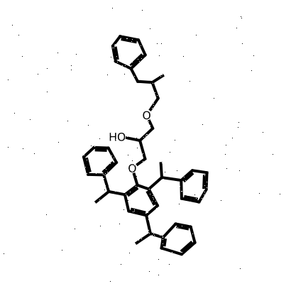 CC(COCC(O)COc1c(C(C)c2ccccc2)cc(C(C)c2ccccc2)cc1C(C)c1ccccc1)Cc1ccccc1